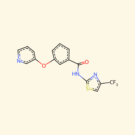 O=C(Nc1nc(C(F)(F)F)cs1)c1cccc(Oc2cccnc2)c1